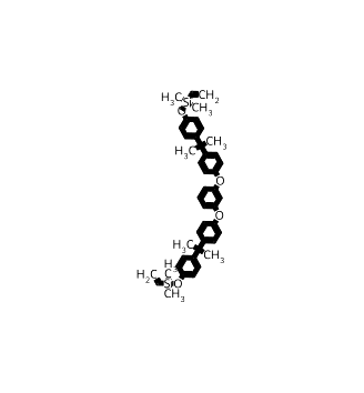 C=C[Si](C)(C)Oc1ccc(C(C)(C)c2ccc(Oc3cccc(Oc4ccc(C(C)(C)c5ccc(O[Si](C)(C)C=C)cc5)cc4)c3)cc2)cc1